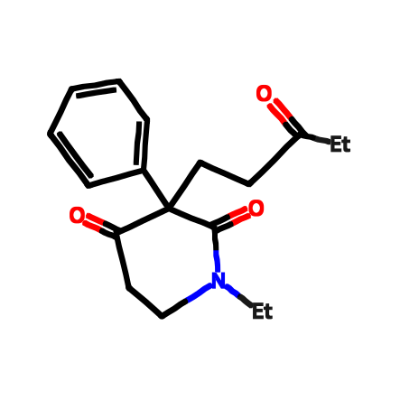 CCC(=O)CCC1(c2ccccc2)C(=O)CCN(CC)C1=O